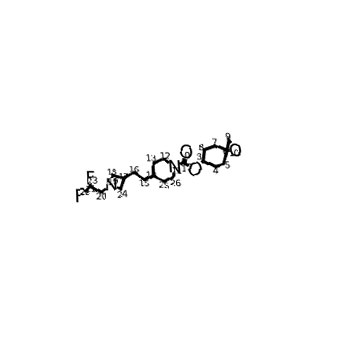 O=C(OC1CCC2(CC1)CO2)N1CCC(CCC2CN(CC(F)F)C2)CC1